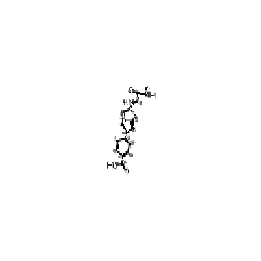 CNC(=O)CNc1nn2cc(-c3ccc(C(=O)O)cc3)nc2s1